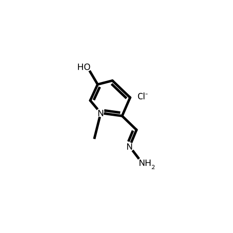 C[n+]1cc(O)ccc1C=NN.[Cl-]